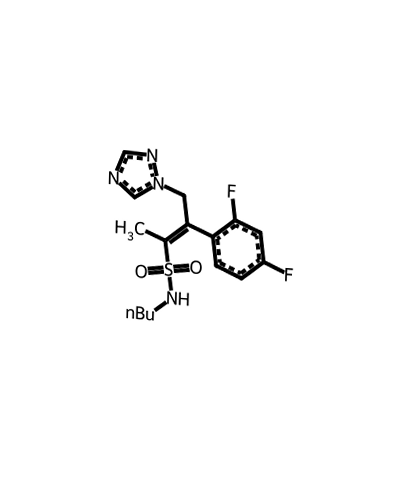 CCCCNS(=O)(=O)C(C)=C(Cn1cncn1)c1ccc(F)cc1F